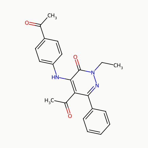 CCn1nc(-c2ccccc2)c(C(C)=O)c(Nc2ccc(C(C)=O)cc2)c1=O